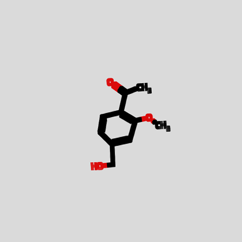 COc1cc(CO)ccc1C(C)=O